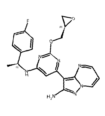 C[C@H](Nc1cc(-c2c(N)nn3cccnc23)nc(OC[C@H]2CO2)n1)c1ccc(F)cc1